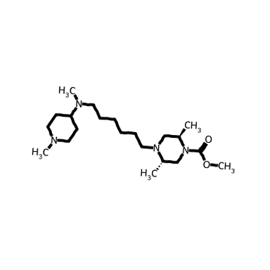 COC(=O)N1C[C@H](C)N(CCCCCCN(C)C2CCN(C)CC2)C[C@H]1C